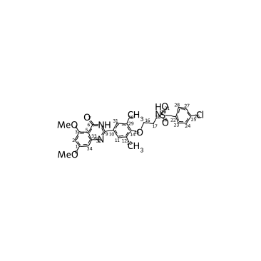 COc1cc(OC)c2c(=O)[nH]c(-c3cc(C)c(OCCNS(=O)(=O)c4ccc(Cl)cc4)c(C)c3)nc2c1